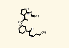 C/C(N[C@@H]1CCCN(C(=O)/C=C\CCO)C1)=C1/C=CN/C1=N/C=N